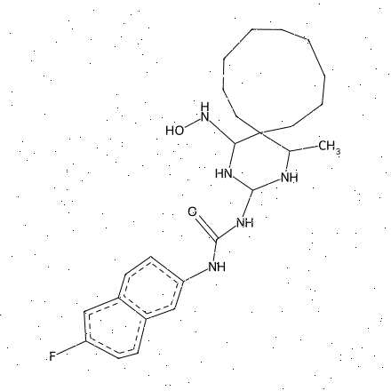 CC1NC(NC(=O)Nc2ccc3cc(F)ccc3c2)NC(NO)C12CCCCCCCCC2